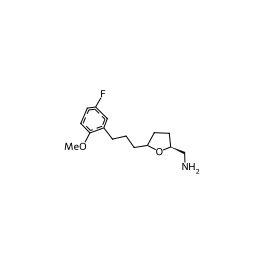 COc1ccc(F)cc1CCCC1CC[C@@H](CN)O1